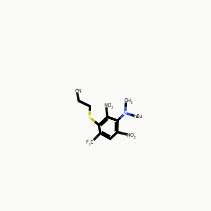 CCCCN(C)c1c([N+](=O)[O-])cc(C(F)(F)F)c(SCCC#N)c1[N+](=O)[O-]